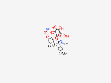 COc1ccc(-c2c(Cc3ccc(OCC(N)=O)cc3OC)c(O[C@@H]3O[C@H](CO)[C@@H](O)[C@H](O)[C@H]3O)nn2C(C)C)cc1